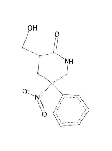 O=C1NCC(c2ccccc2)([N+](=O)[O-])CC1CO